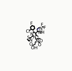 N=C(/C=C\NC(F)F)C1=C2C[C@@]3(COC(=O)N3CCC(=O)O)CN2C(c2nccs2)=N[C@H]1c1ccc(F)cc1Cl